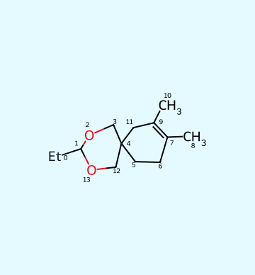 CCC1OCC2(CCC(C)=C(C)C2)CO1